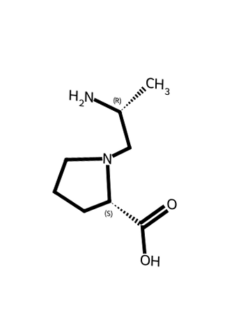 C[C@@H](N)CN1CCC[C@H]1C(=O)O